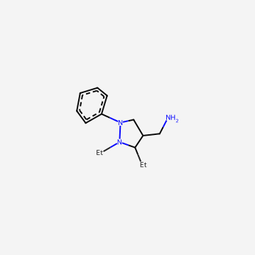 CCC1C(CN)CN(c2ccccc2)N1CC